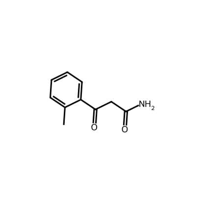 Cc1ccccc1C(=O)CC(N)=O